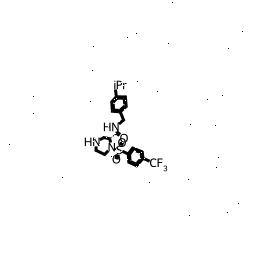 CC(C)c1ccc(CNC(=O)[C@H]2CNCCN2S(=O)(=O)c2ccc(C(F)(F)F)cc2)cc1